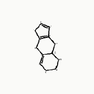 [CH]1C=CC2=C1CC1=CCCCC1C2